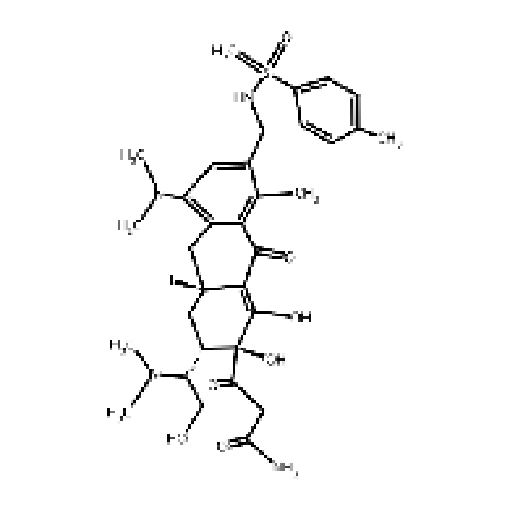 C=S(=O)(NCc1cc(N(C)C)c2c(c1C)C(=O)C1=C(O)[C@](O)(C(=O)CC(N)=O)[C@H](C(CO)N(C)C)C[C@@H]1C2)c1ccc(C)cc1